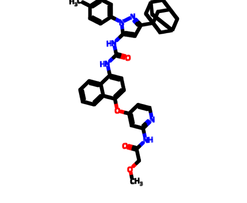 COCC(=O)Nc1cc(Oc2ccc(NC(=O)Nc3cc(C45CC6CC(CC(C6)C4)C5)nn3-c3ccc(C)cc3)c3ccccc23)ccn1